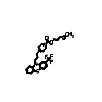 COCCCOC(=O)N1CCN(CCCN2c3ccccc3Sc3ccc(C(F)(F)F)cc32)CC1